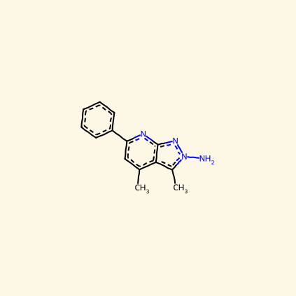 Cc1cc(-c2ccccc2)nc2nn(N)c(C)c12